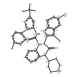 Cc1ccc(-n2nc(C(C)(C)C)cc2NC(=O)Nc2ccccc2C(C(=O)Cc2sc3ccc(Cl)cc3c2C)C2CCNCC2)cc1